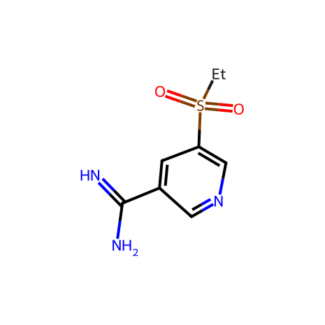 CCS(=O)(=O)c1cncc(C(=N)N)c1